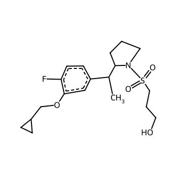 CC(c1ccc(F)c(OCC2CC2)c1)C1CCCN1S(=O)(=O)CCCO